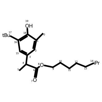 Cc1cc(C(C)C(=O)OCCCCCC(C)C)cc(C(C)(C)C)c1O